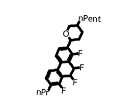 CCCCCC1CCC(c2ccc3c(c2F)C(F)C(F)c2c-3ccc(CCC)c2F)OC1